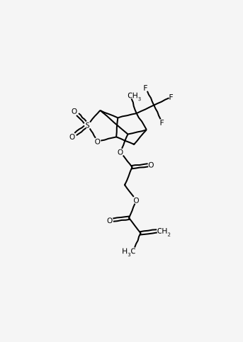 C=C(C)C(=O)OCC(=O)OC1C2CC3OS(=O)(=O)C1C3C2(C)C(F)(F)F